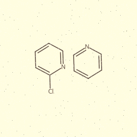 Clc1ccccn1.c1ccncc1